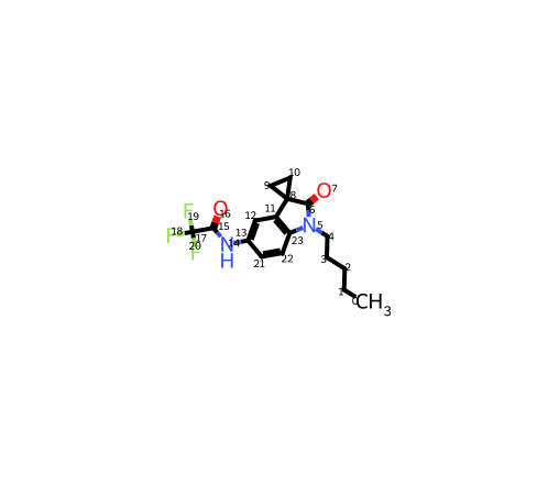 CCCCCN1C(=O)C2(CC2)c2cc(NC(=O)C(F)(F)F)ccc21